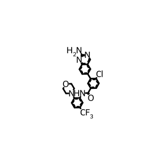 Nc1ncc2cc(-c3cc(C(=O)Nc4cc(C(F)(F)F)ccc4N4CCOCC4)ccc3Cl)ccc2n1